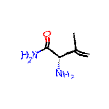 C=C(C)[C@H](N)C(N)=O